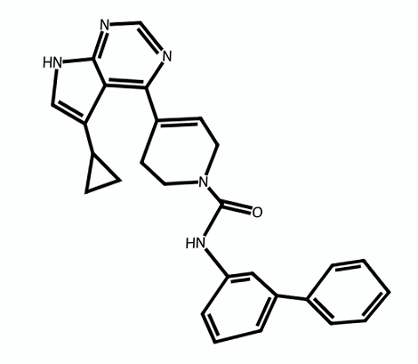 O=C(Nc1cccc(-c2ccccc2)c1)N1CC=C(c2ncnc3[nH]cc(C4CC4)c23)CC1